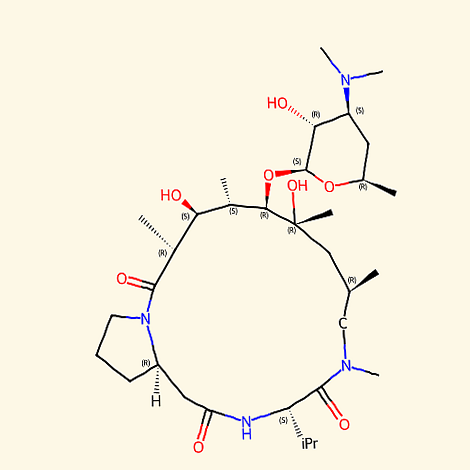 CC(C)[C@@H]1NC(=O)C[C@H]2CCCN2C(=O)[C@H](C)[C@@H](O)[C@H](C)[C@@H](O[C@@H]2O[C@H](C)C[C@H](N(C)C)[C@H]2O)[C@](C)(O)C[C@@H](C)CN(C)C1=O